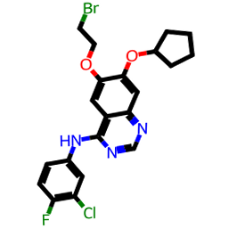 Fc1ccc(Nc2ncnc3cc(OC4CCCC4)c(OCCBr)cc23)cc1Cl